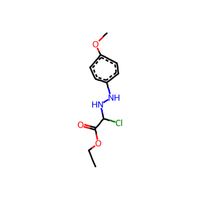 CCOC(=O)C(Cl)NNc1ccc(OC)cc1